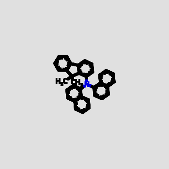 CC1(C)c2ccccc2-c2cccc(N(c3cccc4ccccc34)c3cccc4ccccc34)c21